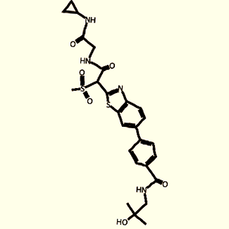 CC(C)(O)CNC(=O)c1ccc(-c2ccc3nc(C(C(=O)NCC(=O)NC4CC4)S(C)(=O)=O)sc3c2)cc1